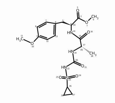 COC(=O)[C@H](Cc1ccc(OC)cc1)NC(=O)[C@H](C)NC(=O)NS(=O)(=O)C1CC1